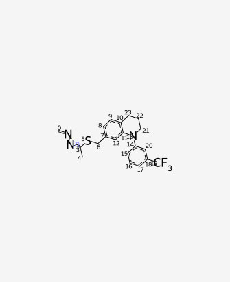 C=N/N=C(/C)SCc1ccc2c(c1)N(c1cccc(C(F)(F)F)c1)CCC2